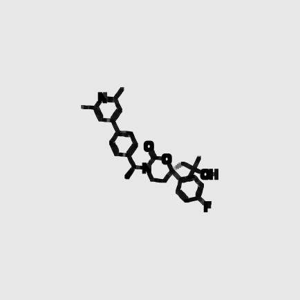 Cc1cc(-c2ccc([C@H](C)N3CC[C@](CC(C)(C)O)(c4ccc(F)cc4)OC3=O)cc2)cc(C)n1